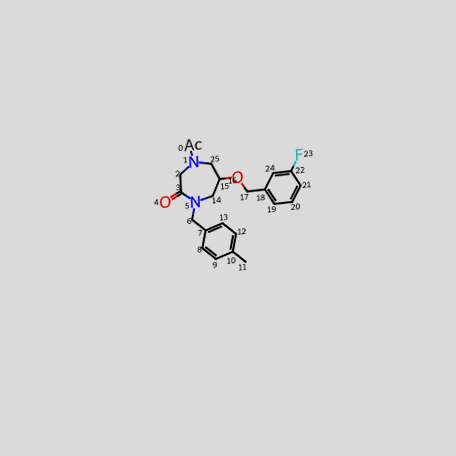 CC(=O)N1CC(=O)N(Cc2ccc(C)cc2)CC(OCc2cccc(F)c2)C1